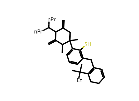 C=C1CC(C)(c2cccc(CC3=C(C(C)(C)CC)CCC=C3)c2S)C(C)C(=C)C1C(CCC)CCC